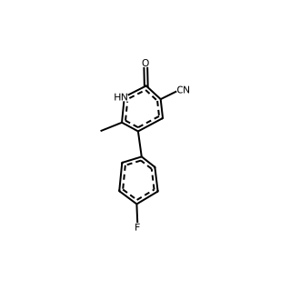 Cc1[nH]c(=O)c(C#N)cc1-c1ccc(F)cc1